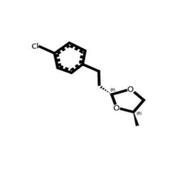 C[C@@H]1CO[C@@H](CCc2ccc(Cl)cc2)O1